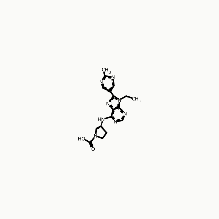 CCn1c(-c2cnc(C)nc2)nc2c(N[C@H]3CCN(C(=O)O)C3)ncnc21